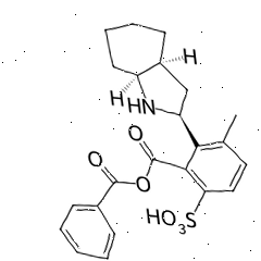 Cc1ccc(S(=O)(=O)O)c(C(=O)OC(=O)c2ccccc2)c1[C@@H]1C[C@@H]2CCCC[C@@H]2N1